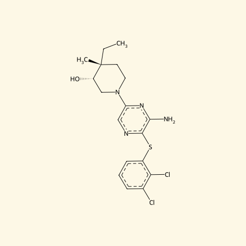 CC[C@]1(C)CCN(c2cnc(Sc3cccc(Cl)c3Cl)c(N)n2)C[C@@H]1O